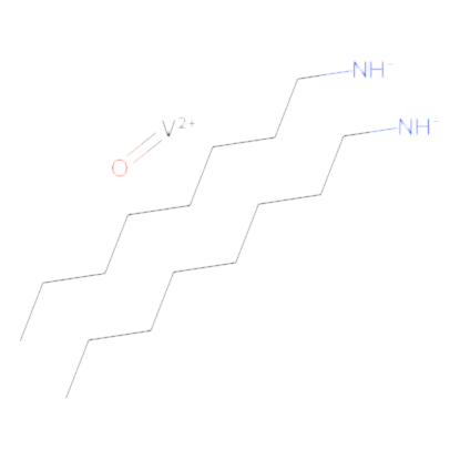 CCCCCCCC[NH-].CCCCCCCC[NH-].[O]=[V+2]